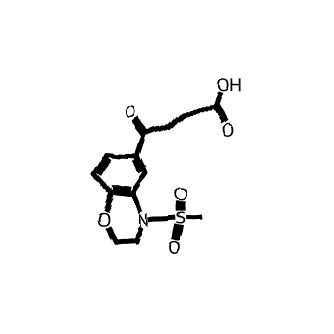 CS(=O)(=O)N1CCOc2ccc(C(=O)CCC(=O)O)cc21